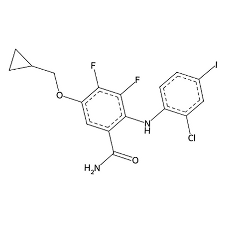 NC(=O)c1cc(OCC2CC2)c(F)c(F)c1Nc1ccc(I)cc1Cl